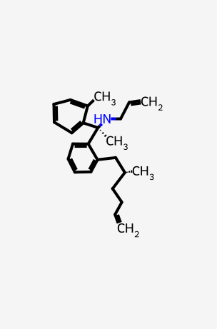 C=CCC[C@@H](C)Cc1ccccc1[C@](C)(NCC=C)c1ccccc1C